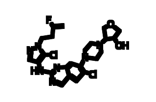 C=C(F)CCn1ncc(Nc2ncc3cc(Cl)c(N4CCN(C5COCC5O)CC4)cc3n2)c1Cl